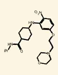 CC(C)NC(=O)C1CCC(Nc2cc(OCCN3CCOCC3)ccc2[N+](=O)[O-])CC1